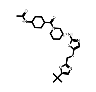 CC(=O)NC1CCC(C(=O)N2CCC[C@@H](Nc3ncc(SCc4ncc(C(C)(C)C)o4)s3)C2)CC1